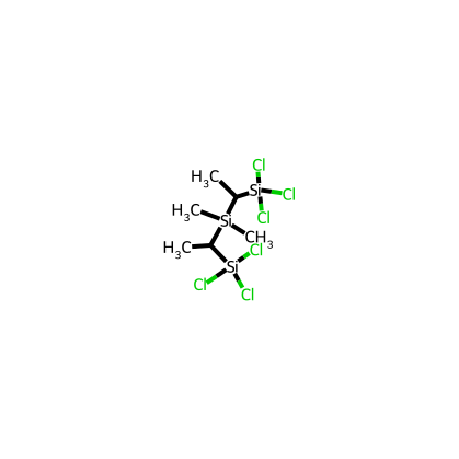 CC([Si](Cl)(Cl)Cl)[Si](C)(C)C(C)[Si](Cl)(Cl)Cl